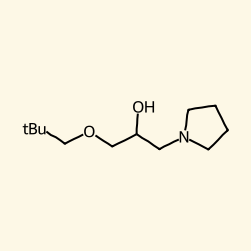 CC(C)(C)COCC(O)CN1CCCC1